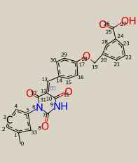 Cc1cccc(N2C(=O)NC(=O)/C(=C\c3ccc(OCc4cccc(C(=O)O)c4)cc3)C2=O)c1